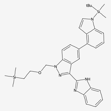 CC(C)(C)[Si](C)(C)n1ccc2c(-c3ccc4c(c3)c(-c3nc5ccccc5[nH]3)nn4COCC[Si](C)(C)C)cccc21